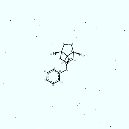 FC1(F)[C@@H]2CC[C@H]1CN(Cc1ccccc1)C2